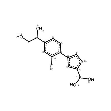 CC(CO)c1ccc(-c2csc(B(O)O)c2)c(F)c1